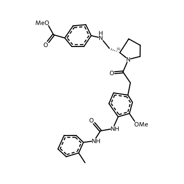 COC(=O)c1ccc(NC[C@@H]2CCCN2C(=O)Cc2ccc(NC(=O)Nc3ccccc3C)c(OC)c2)cc1